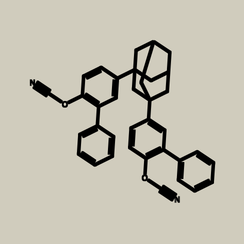 N#COc1ccc(C23CC4CC(C2)CC(c2ccc(OC#N)c(-c5ccccc5)c2)(C4)C3)cc1-c1ccccc1